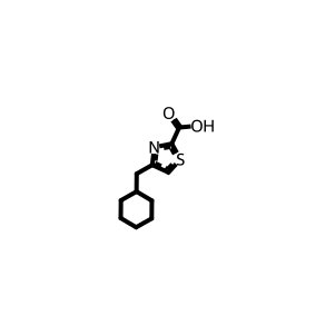 O=C(O)c1nc(CC2CCCCC2)cs1